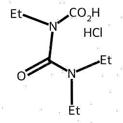 CCN(CC)C(=O)N(CC)C(=O)O.Cl